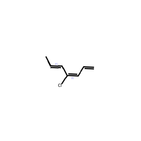 C=C/C=C(Cl)\C=C\C